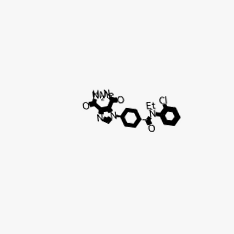 CCN(c1ccccc1Cl)C(=O)[C@H]1CC[C@H](n2cnc(C(=O)NC)c2C(N)=O)CC1